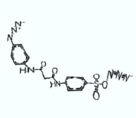 [N-]=[N+]=NOS(=O)(=O)c1ccc(NC(=O)CC(=O)Nc2ccc(N=[N+]=[N-])cc2)cc1